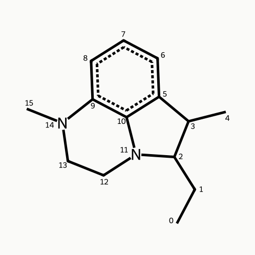 CCC1C(C)c2cccc3c2N1CCN3C